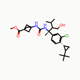 COC(=O)C12CC(NC(=O)N[C@@](C)(c3ccc([C@@H]4CC4C(C)(C)C)c(Cl)c3)C(CO)C(C)C)(C1)C2